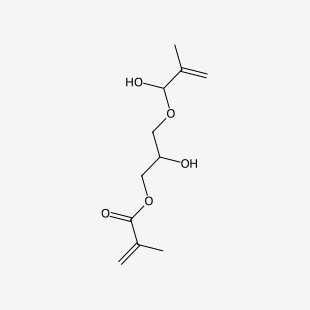 C=C(C)C(=O)OCC(O)COC(O)C(=C)C